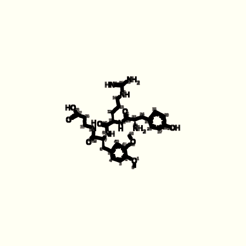 COc1ccc(C[C@H](NC(=O)[C@@H](CCCNC(=N)N)NC(=O)[C@@H](N)Cc2ccc(O)cc2)C(=O)NCCC(=O)O)cc1OC